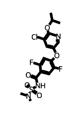 CC(C)Oc1ncc(Oc2cc(F)c(C(=O)NS(=O)(=O)N(C)C)cc2F)cc1Cl